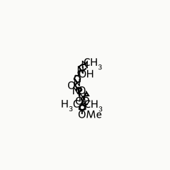 COc1cc(C)c(S(=O)(=O)N(Cc2nc(C(=O)N3CCC(O)(CN4CCN(C)CC4)CC3)co2)C2CC2)c(C)c1